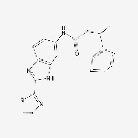 CC(CC(=O)Nc1ccc2nc(-c3nccs3)[nH]c2c1)c1ccccc1